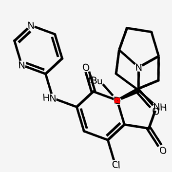 CC(C)(C)OC(=O)N1C2CCC1CC1(C2)NC(=O)c2c(Cl)cc(Nc3ccncn3)c(=O)n21